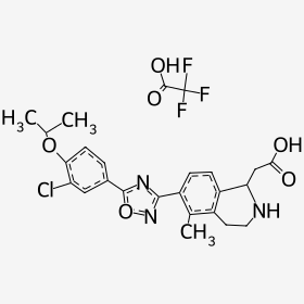 Cc1c(-c2noc(-c3ccc(OC(C)C)c(Cl)c3)n2)ccc2c1CCNC2CC(=O)O.O=C(O)C(F)(F)F